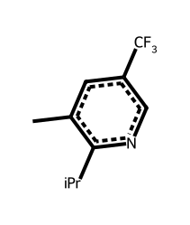 Cc1cc(C(F)(F)F)cnc1C(C)C